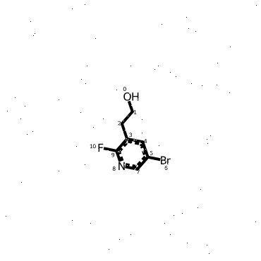 OCCc1cc(Br)cnc1F